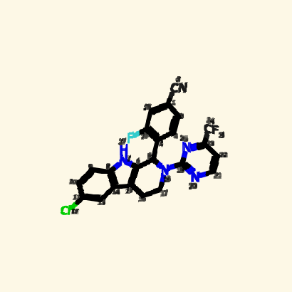 N#Cc1ccc(C2c3[nH]c4ccc(Cl)cc4c3CCN2c2nccc(C(F)(F)F)n2)c(F)c1